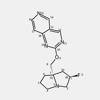 F[C@H]1CN2CCC[C@@]2(COc2ncc3cnccc3n2)C1